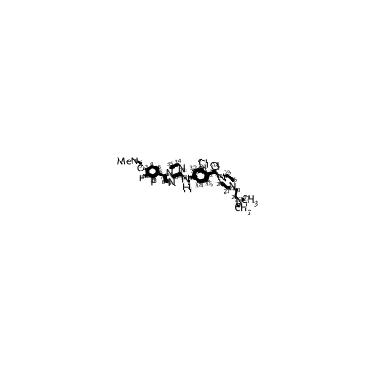 CNCOc1ccc(-c2cnc3c(Nc4ccc(C(=O)N5CCN(CCN(C)C)CC5)c(Cl)c4)nccn23)c(F)c1F